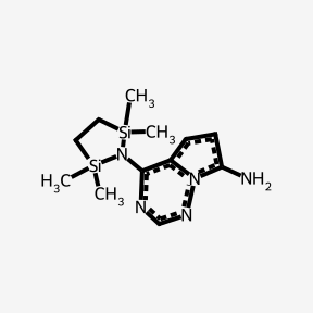 C[Si]1(C)CC[Si](C)(C)N1c1ncnn2c(N)ccc12